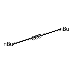 CCCCC=CCCCCCCCC/C=C/CCOCOCOCC/C=C/CCCCCCCCC=CCCCC